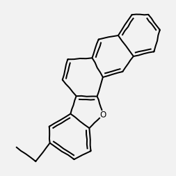 CCc1ccc2oc3c4cc5ccccc5cc4ccc3c2c1